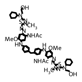 COc1cc(N=Nc2sc(N(CCO)C3CCCCC3)n[n+]2C)c(NC(C)=O)cc1Nc1ccc(Cc2ccc(Nc3cc(NC(C)=O)c(N=Nc4sc(N(CCO)C5CCCCC5)n[n+]4C)cc3OC)cc2)cc1